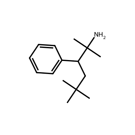 CC(C)(C)CC(c1ccccc1)C(C)(C)N